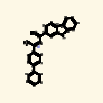 N=C(/N=C(\N)c1ccc(-c2ccccc2)cc1)c1ccc2c(c1)sc1ccccc12